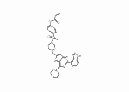 C=CC(=O)Nc1ccc(S(=O)(=O)N2CCN(Cc3cc4nc(-c5cccc6[nH]ncc56)nc(N5CCOCC5)c4s3)CC2)cc1